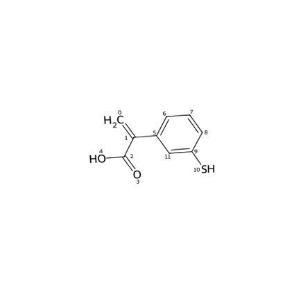 C=C(C(=O)O)c1cccc(S)c1